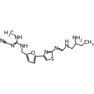 CCC(N)CNC=Nc1nc(-c2ccc(CNC(=NC#N)NC)o2)cs1